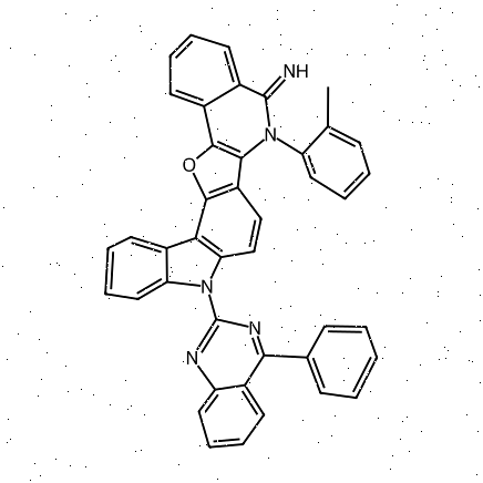 Cc1ccccc1-n1c(=N)c2ccccc2c2oc3c(ccc4c3c3ccccc3n4-c3nc(-c4ccccc4)c4ccccc4n3)c21